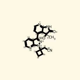 C[C@@]1(O)C(=O)Nc2nccc(-c3nn(C4(CC#N)CCC4)c4ncccc34)c21